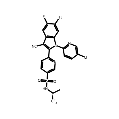 CCc1cc2c(cc1F)c(C#N)c(-c1ccc(S(=O)(=O)N[C@@H](C)C(F)(F)F)cn1)n2-c1ccc(Cl)cn1